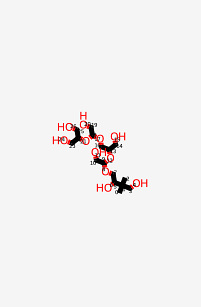 CC(C)(CO)C(O)COC(CO)OC(CO)COC(CO)OC(CO)CO